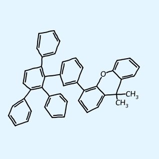 CC1(C)c2ccccc2Oc2c(-c3cccc(-c4c(-c5ccccc5)ccc(-c5ccccc5)c4-c4ccccc4)c3)cccc21